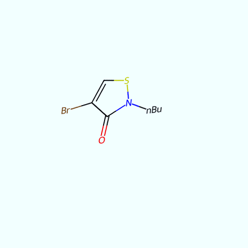 CCCCn1scc(Br)c1=O